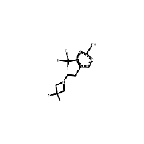 CC1(F)CN(CCc2cnc(O)nc2C(F)(F)F)C1